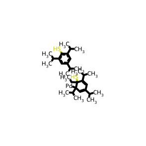 CC(C)c1cc(C(C)C)c(S)c(C(C)C)c1.CCC1(S)C(C(C)C)=CC(C(C)C)=C[C]1([Pd])C(C)C